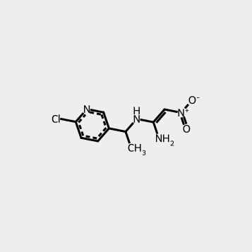 CC(NC(N)=C[N+](=O)[O-])c1ccc(Cl)nc1